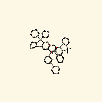 CC1(C)c2ccccc2-c2cc(N(c3ccc4c(c3)-c3ccccc3C4(c3ccccc3)c3ccccc3)c3cccc(-c4ccccc4)c3-c3ccccc3-c3ccccc3)ccc21